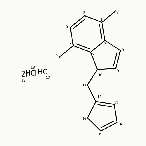 Cc1ccc(C)c2c1C=CC2CC1=CC=CC1.Cl.Cl.[Zr]